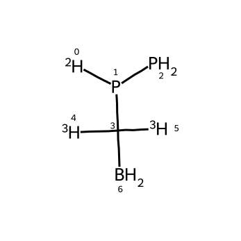 [2H]P(P)C([3H])([3H])B